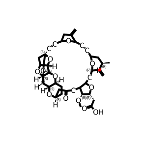 C=C1CC2CC[C@@]34CC5O[C@H]6[C@@H](O3)[C@H]3O[C@H](CC[C@@H]3O[C@H]6[C@H]5O4)CC(=O)CC3C(C[C@H]4OC(CCC1O2)C[C@@H](C)C4=C)O[C@H](CC(=O)O)[C@@H]3OC